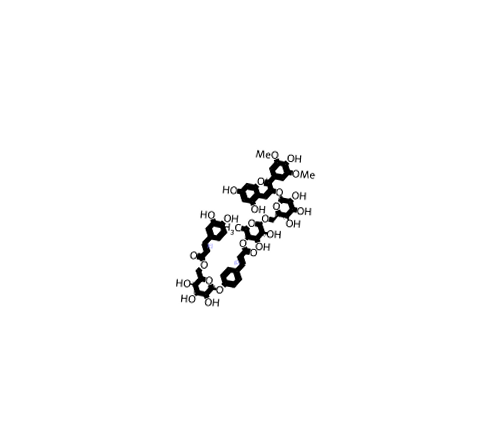 COc1cc(-c2[o+]c3cc(O)cc(O)c3cc2O[C@@H]2O[C@H](CO[C@@H]3OC(C)[C@H](OC(=O)/C=C/c4ccc(O[C@@H]5OC(COC(=O)/C=C/c6ccc(O)c(O)c6)[C@@H](O)[C@H](O)C5O)cc4)C(O)[C@@H]3O)[C@@H](O)C(O)C2O)cc(OC)c1O